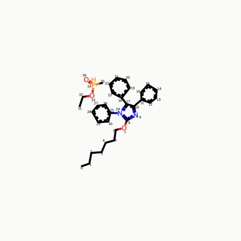 CCCCCCCOc1nc(-c2ccccc2)c(-c2ccccc2)n1-c1ccccc1.CCO[PH](C)=O